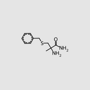 CC(N)(CSCc1ccccc1)C(N)=O